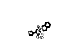 O=CN(O)C(CS(=O)(=O)N1CCc2ccccc2C1)C1C=CSC1